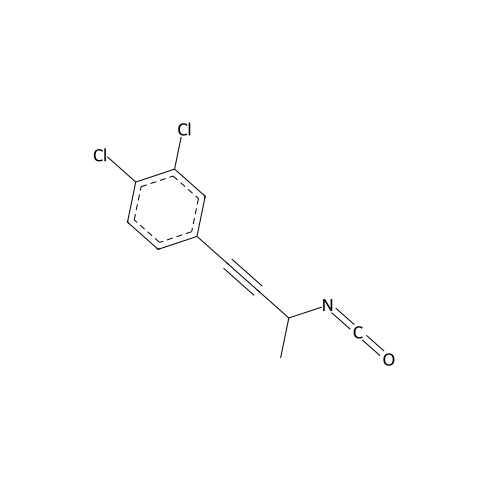 CC(C#Cc1ccc(Cl)c(Cl)c1)N=C=O